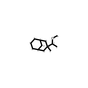 COC(C)C1(C)CC2CCCC(C2)C1